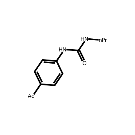 [CH2]CCNC(=O)Nc1ccc(C(C)=O)cc1